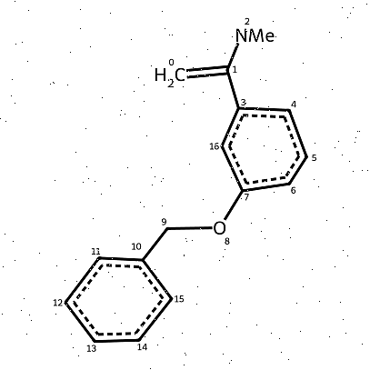 C=C(NC)c1cccc(OCc2ccccc2)c1